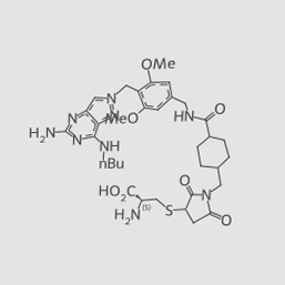 CCCCNc1nc(N)nc2cn(Cc3c(OC)cc(CNC(=O)C4CCC(CN5C(=O)CC(SC[C@@H](N)C(=O)O)C5=O)CC4)cc3OC)nc12